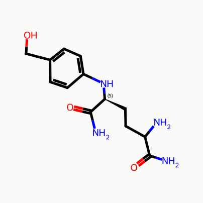 NC(=O)C(N)CC[C@H](Nc1ccc(CO)cc1)C(N)=O